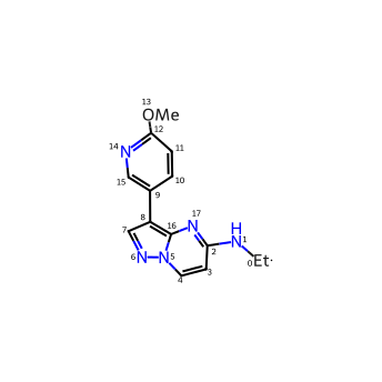 [CH2][CH]Nc1ccn2ncc(-c3ccc(OC)nc3)c2n1